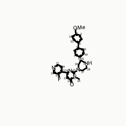 COc1ccc(-c2ccc([C@H]3CN(c4nc(-c5ccncc5F)cc(=O)n4C)CCN3)cc2)cc1